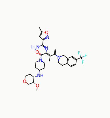 C=C(/C(C)=C(\N=C(/N)c1cc(C)on1)C(=O)N1CCC(N[C@H]2CCOC[C@H]2OC)CC1)N1CCc2ccc(C(F)(F)F)cc2C1